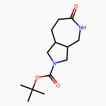 CC(C)(C)OC(=O)N1CC2CCC(=O)NCC2C1